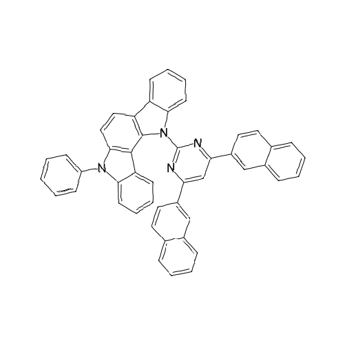 c1ccc(-n2c3ccccc3c3c2ccc2c4ccccc4n(-c4nc(-c5ccc6ccccc6c5)cc(-c5ccc6ccccc6c5)n4)c23)cc1